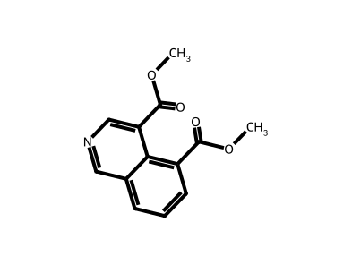 COC(=O)c1cccc2cncc(C(=O)OC)c12